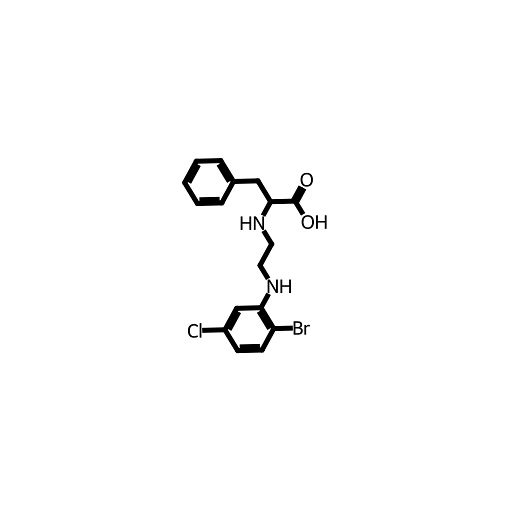 O=C(O)C(Cc1ccccc1)NCCNc1cc(Cl)ccc1Br